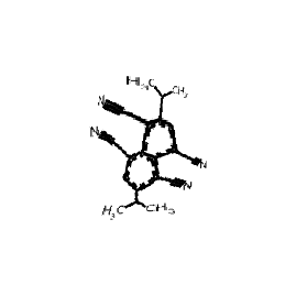 CC(C)c1cc(C#N)c2c(C#N)c(C(C)C)cc(C#N)c2c1C#N